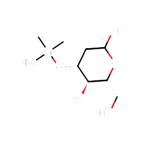 CC(C)(C)[Si](C)(C)O[C@@H]1CC(O)O[C@H](CO)[C@H]1O